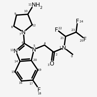 CN(C(=O)Cn1c(N2CCC(N)C2)nc2ccc(F)cc21)C(F)C(F)F